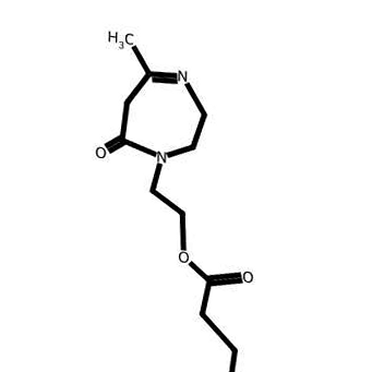 CCCCCCCCCCCC(=O)OCCN1CCN=C(C)CC1=O